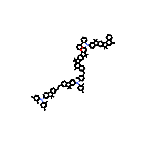 Cc1ccc(N(c2ccc3c(c2)C(C)(C)c2cc(/C=C/c4ccc5c(c4)C(C)(C)c4cc(N(c6ccc(C)cc6C)c6ccc(Cc7ccc8c9c(cc(C)c8c7)C(C)(C)c7cc8c(cc7-9)C(C)(C)c7cc(N(c9ccc%10c(c9)C(C)(C)c9cc%11c(cc9-%10)C(C)(C)c9cc(C)c%10ccccc%10c9-%11)c9ccccc9-c9ccccc9)ccc7-8)cc6C)ccc4-5)ccc2-3)c2ccc(C)cc2C)c(C)c1